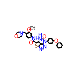 CCOc1cc(NC(=O)c2sc3ncnc4c3c2NC(=O)N4c2ccc(Oc3ccccc3)cc2)ccc1CN1CCOCC1